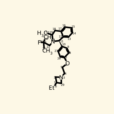 CCC1CN(CCOc2ccc([C@@H]3c4ccccc4CC(C)N3CC(C)(C)F)cc2)C1